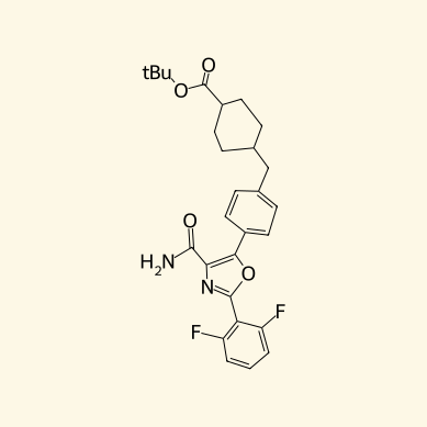 CC(C)(C)OC(=O)C1CCC(Cc2ccc(-c3oc(-c4c(F)cccc4F)nc3C(N)=O)cc2)CC1